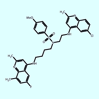 COc1ccc(S(=O)(=O)N(CCCCNc2cc(C)nc3c(C)cc(F)cc23)CCNc2cc(C)nc3ccc(Cl)cc23)cc1